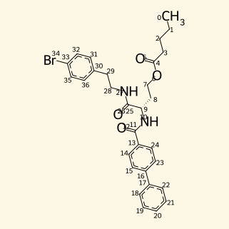 CCCCC(=O)OCC[C@H](NC(=O)c1ccc(-c2ccccc2)cc1)C(=O)NCCc1ccc(Br)cc1